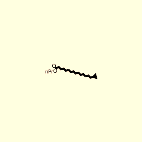 CCCOC(=O)CCCCCCCCCCCCCCC1CC1